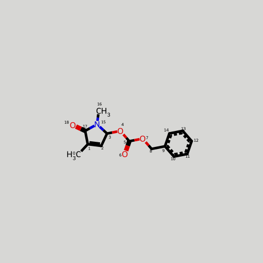 CC1=CC(OC(=O)OCc2ccccc2)N(C)C1=O